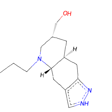 CCCN1C[C@H](CO)C[C@H]2Cc3n[nH]cc3C[C@@H]21